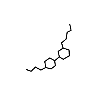 CCCCCC1CCCC(C2CCC(CCCC)CC2)C1